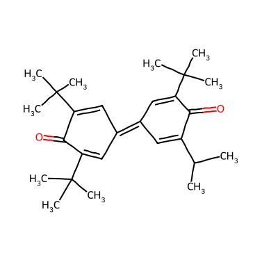 CC(C)C1=CC(=C2C=C(C(C)(C)C)C(=O)C(C(C)(C)C)=C2)C=C(C(C)(C)C)C1=O